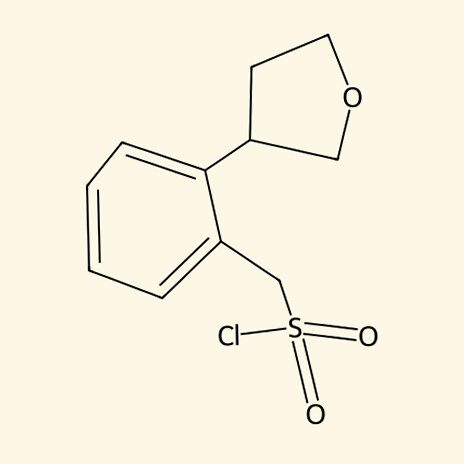 O=S(=O)(Cl)Cc1ccccc1C1CCOC1